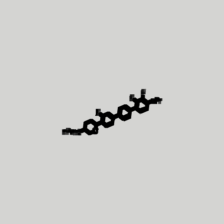 CCCCCC1CCC(c2ccc(-c3ccc(-c4ccc(CCC)c(F)c4F)cc3)cc2F)OC1